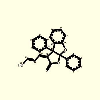 C=C1OC2(c3ccccc3)Oc3ccccc3C2(c2ccccc2)/C1=C/C=C/O